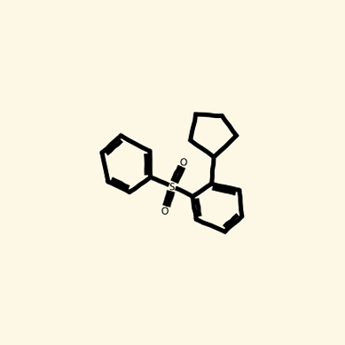 O=S(=O)(c1ccccc1)c1ccccc1C1CCCC1